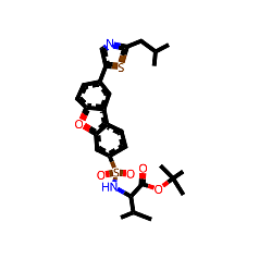 CC(C)Cc1ncc(-c2ccc3oc4cc(S(=O)(=O)NC(C(=O)OC(C)(C)C)C(C)C)ccc4c3c2)s1